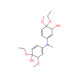 CCOC1(O)C=CC(N(C)C2=CC(O)C(OC)(OCC)C=C2)=CC1OC